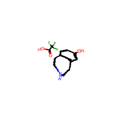 O=C(O)C(F)(F)F.Oc1ccc2c(c1)CCNCC2